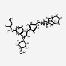 CCCC(C)Nc1ncc2c(-c3ccc(CNCC4(C)CC5CCCC(C5)C4)cc3)cn([C@H]3CC[C@H](O)CC3)c2n1